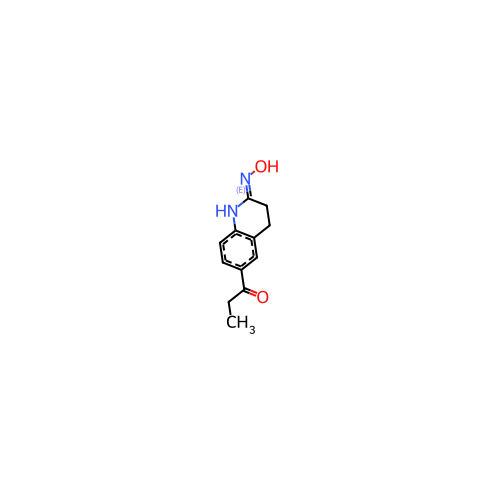 CCC(=O)c1ccc2c(c1)CC/C(=N\O)N2